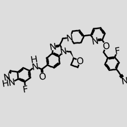 N#Cc1ccc(COc2cccc(C3=CCN(Cc4nc5cc(C(=O)Nc6cc(F)c7[nH]ncc7c6)ccc5n4C[C@@H]4CCO4)CC3)n2)c(F)c1